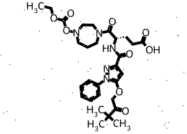 CCOC(=O)ON1CCCN(C(=O)[C@H](CCC(=O)O)NC(=O)c2cc(OCC(=O)C(C)(C)C)n(-c3ccccc3)n2)CC1